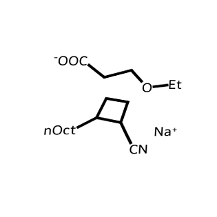 CCCCCCCCC1CCC1C#N.CCOCCC(=O)[O-].[Na+]